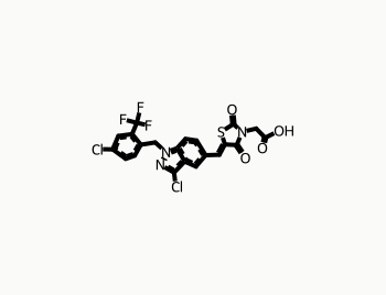 O=C(O)CN1C(=O)S/C(=C\c2ccc3c(c2)c(Cl)nn3Cc2ccc(Cl)cc2C(F)(F)F)C1=O